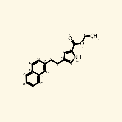 CCOC(=O)c1cc(CCc2ccc3ccccc3c2)c[nH]1